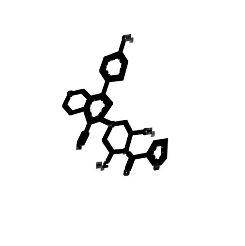 Cc1ccc(-c2cc(N3CC(C)N(C(=O)c4ccco4)C(C)C3)c(C#N)c3c2COCC3)cc1